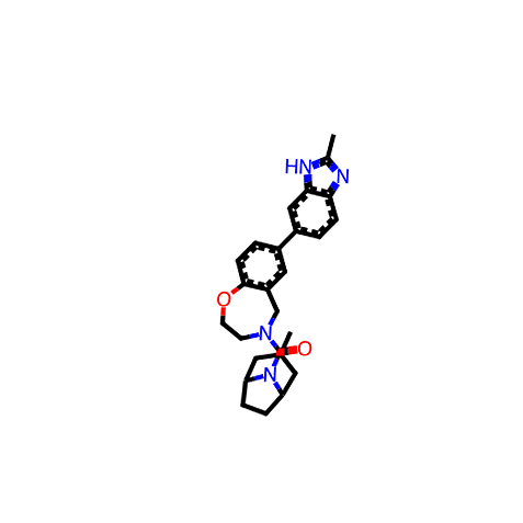 Cc1nc2ccc(-c3ccc4c(c3)CN(C(=O)N3C5CCC3CC(C)C5)CCO4)cc2[nH]1